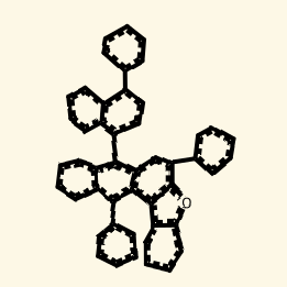 c1ccc(-c2ccc(-c3c4ccccc4c(-c4ccccc4)c4c3cc(-c3ccccc3)c3oc5ccccc5c34)c3ccccc23)cc1